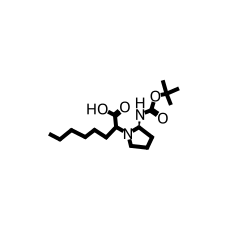 CCCCCCC(C(=O)O)N1CCC[C@H]1NC(=O)OC(C)(C)C